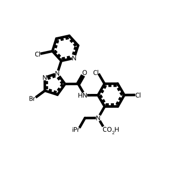 CC(C)CN(C(=O)O)c1cc(Cl)cc(Cl)c1NC(=O)c1cc(Br)nn1-c1ncccc1Cl